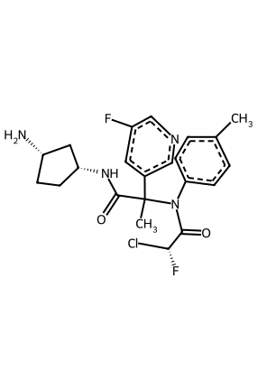 Cc1ccc(N(C(=O)[C@H](F)Cl)C(C)(C(=O)N[C@@H]2CC[C@H](N)C2)c2cncc(F)c2)cc1